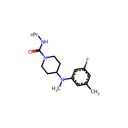 CCCNC(=O)N1CCC(N(C)c2cc(C)cc(F)c2)CC1